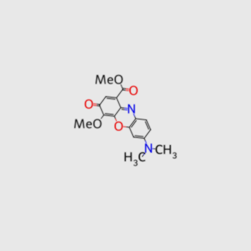 COC(=O)c1cc(=O)c(OC)c2oc3cc(N(C)C)ccc3nc1-2